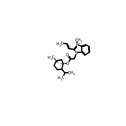 C/C=C/c1n(CC(=O)O[C@@H]2C[C@H](C)CCC2C(C)C)c2ccccc2[n+]1C